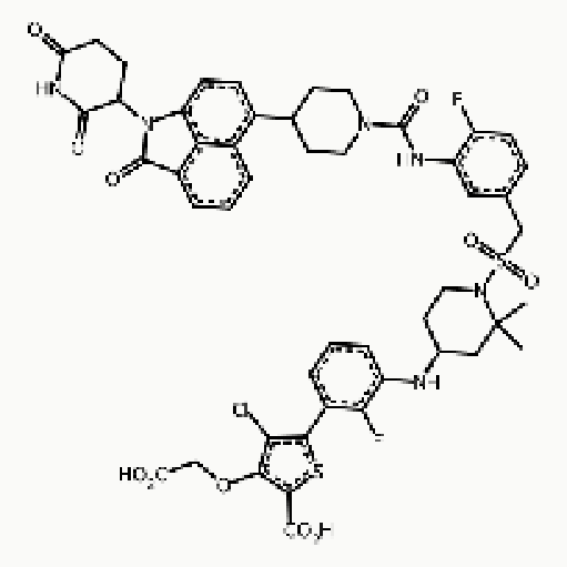 CC1(C)C[C@@H](Nc2cccc(-c3sc(C(=O)O)c(OCC(=O)O)c3Cl)c2F)CCN1S(=O)(=O)Cc1ccc(F)c(NC(=O)N2CCC(c3ccc4c5c(cccc35)C(=O)N4C3CCC(=O)NC3=O)CC2)c1